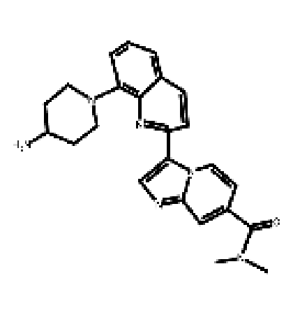 CN(C)C(=O)c1ccn2c(-c3ccc4cccc(N5CCC(N)CC5)c4n3)cnc2c1